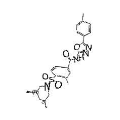 Cc1ccc(-c2nnc(NC(=O)c3ccc(S(=O)(=O)N4C[C@H](C)C[C@H](C)C4)c(C)c3)o2)cc1